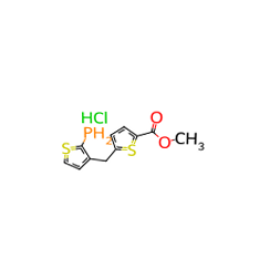 COC(=O)c1ccc(Cc2ccsc2P)s1.Cl